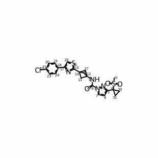 CS(=O)(=O)C1(c2ccn(C(=O)NC34CC(c5nc(-c6ccc(Cl)cc6)cs5)(C3)C4)n2)CC1